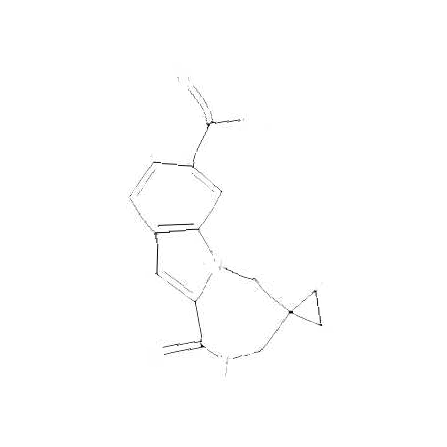 CC(=O)c1ccc2cc3n(c2c1)CC1(CC1)CNC3=O